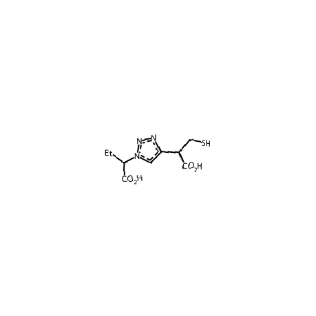 CCC(C(=O)O)n1cc(C(CS)C(=O)O)nn1